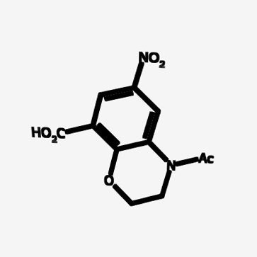 CC(=O)N1CCOc2c(C(=O)O)cc([N+](=O)[O-])cc21